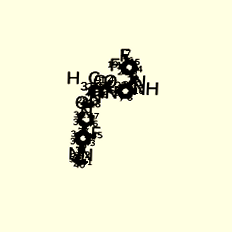 CO[C@@]1(C(=O)Nc2ccc3[nH]nc(-c4ccc(F)c(F)c4)c3c2)CCN(CC(=O)N2CC=C(c3ccc(-c4ncccn4)cc3F)CC2)C1